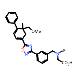 COCC1(C)CC(c2nc(-c3cccc(CN(CC(=O)O)C(C)C)c3)no2)=CC=C1c1ccccc1